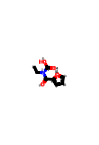 CCN(C(=O)O)C(=O)c1ccco1